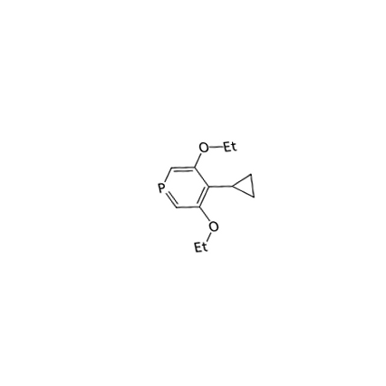 CCOc1cpcc(OCC)c1C1CC1